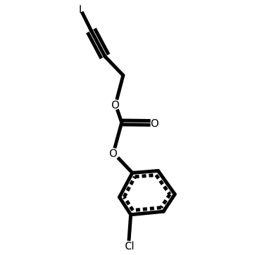 O=C(OCC#CI)Oc1cccc(Cl)c1